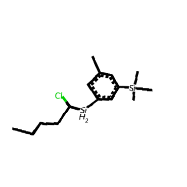 CCCCC(Cl)[SiH2]c1cc(C)cc([Si](C)(C)C)c1